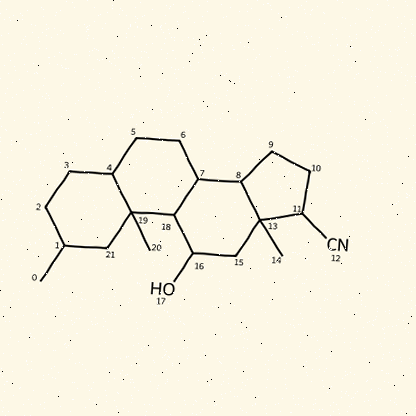 CC1CCC2CCC3C4CCC(C#N)C4(C)CC(O)C3C2(C)C1